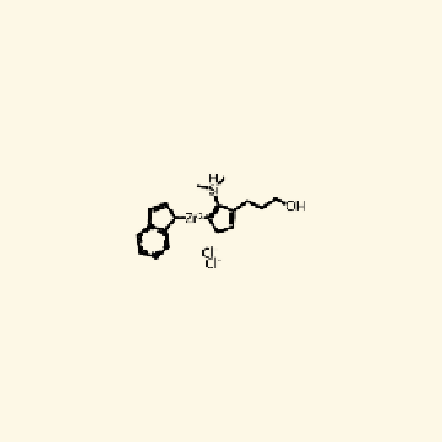 C[SiH](C)C1=[C]([Zr+2][CH]2C=Cc3ccccc32)CC=C1CCCO.[Cl-].[Cl-]